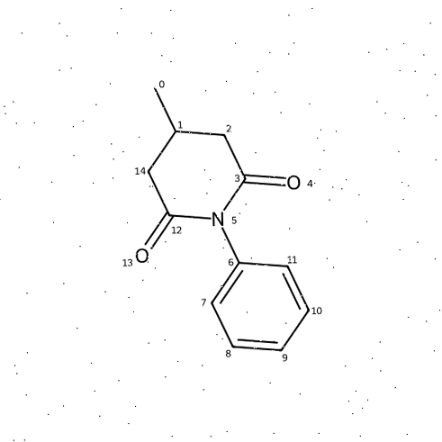 CC1CC(=O)N(c2ccccc2)C(=O)C1